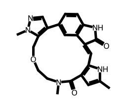 Cc1cc2c([nH]1)/C=C1\C(=O)Nc3ccc(cc31)-c1cnn(C)c1COCCN(C)C2=O